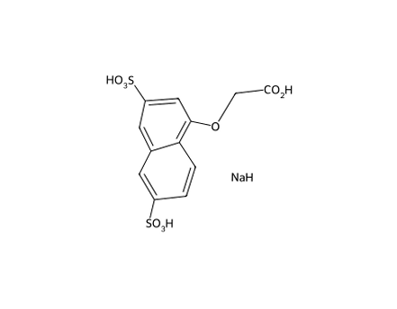 O=C(O)COc1cc(S(=O)(=O)O)cc2cc(S(=O)(=O)O)ccc12.[NaH]